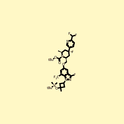 C[C@H]1C[C@@](F)(c2ccc(C(F)F)nc2)C[C@@H](COc2cc(C(F)(F)F)c3c(c2)c(F)nn3C2CC(C)(O[Si](C)(C)C(C)(C)C)C2)N1C(=O)OC(C)(C)C